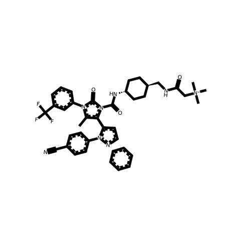 Cc1c(-c2ccnn2-c2ccc(C#N)cc2)n(C(=O)N[C@H]2CC[C@H](CNC(=O)C[N+](C)(C)C)CC2)c(=O)n1-c1cccc(C(F)(F)F)c1.c1ccccc1